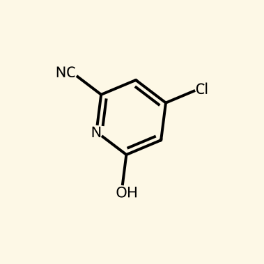 N#Cc1cc(Cl)cc(O)n1